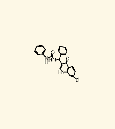 O=C(Nc1ccccc1)NC(c1ccccc1)c1c[nH]c2cc(Cl)ccc2c1=O